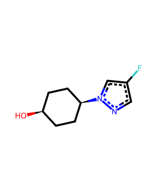 O[C@H]1CC[C@@H](n2cc(F)cn2)CC1